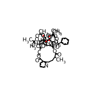 CC(=O)OC[C@]12[C@H](OC(C)=O)[C@H](OC(C)=O)[C@@H]3[C@@H](OC(C)=O)[C@@]14O[C@@]3(C)COC(=O)c1cccnc1CCC(C)C(=O)O[C@@H]([C@H](OC(=O)c1ccccc1)[C@@H]2OC(C)=O)[C@]4(C)O